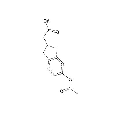 CC(=O)Oc1ccc2c(c1)CC(CC(=O)O)C2